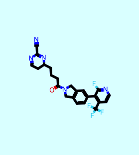 N#CC1=NC(CCCC(=O)N2Cc3ccc(-c4c(C(F)(F)F)ccnc4F)cc3C2)CC=N1